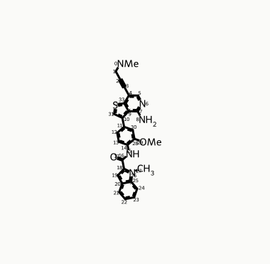 CNCC#Cc1cnc(N)c2c(-c3ccc(NC(=O)c4cc5ccccc5n4C)c(OC)c3)csc12